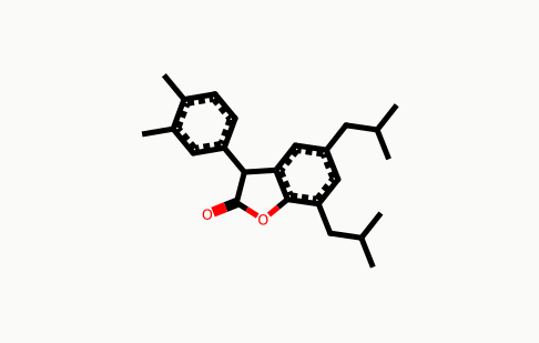 Cc1ccc(C2C(=O)Oc3c(CC(C)C)cc(CC(C)C)cc32)cc1C